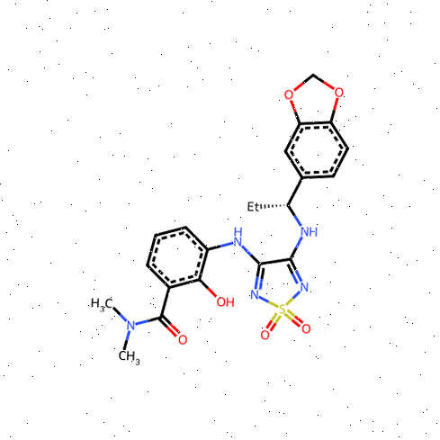 CC[C@@H](NC1=NS(=O)(=O)N=C1Nc1cccc(C(=O)N(C)C)c1O)c1ccc2c(c1)OCO2